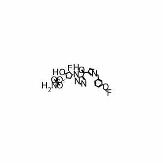 NS(=O)(=O)OC[C@H]1C[C@@H](Nc2ncncc2C(=O)c2ccn(Cc3cccc(OCF)c3)c2)[C@@H](F)[C@@H]1O